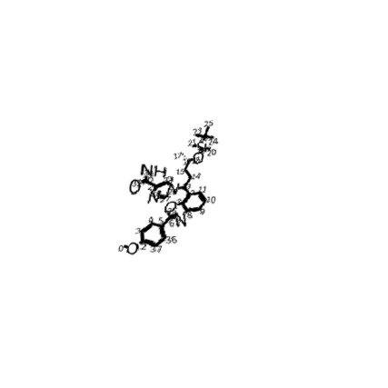 COc1ccc(-c2nc3cccc(C(CC[C@H](C)O[Si](C)(C)C(C)(C)C)n4cnc(C(N)=O)c4)c3o2)cc1